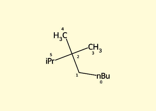 CCCCCC(C)(C)C(C)C